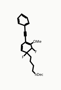 CCCCCCCCCCCCCCC1(F)C=CC(C#Cc2ccccc2)=C(OC)C1F